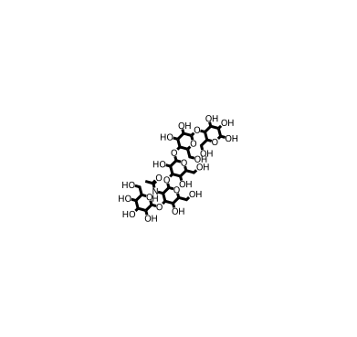 CC(=O)NC1C(OC2C(O)C(CO)OC(OC3C(CO)OC(OC4C(CO)OC(O)C(O)C4O)C(O)C3O)C2O)OC(CO)C(O)C1OC1OC(CO)C(O)C(O)C1O